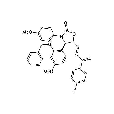 COc1ccc(N2C(=O)O[C@H](C=CC(=O)c3ccc(F)cc3)[C@H]2c2ccc(OC)cc2OCc2ccccc2)cc1